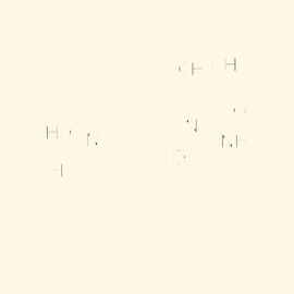 CCC(CC)C1C(=O)NC(C2Cc3ccccc3C2)C(=O)N1Cc1cccc(CN(C)CC)c1